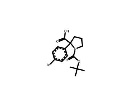 CC(C)(C)OC(=O)N1CCCC1(C(=O)O)c1ccc(Br)cc1